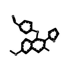 COc1ccc2c(Oc3ccc(C=O)cc3)c(-c3ccco3)c(C)cc2c1